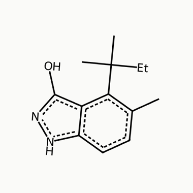 CCC(C)(C)c1c(C)ccc2[nH]nc(O)c12